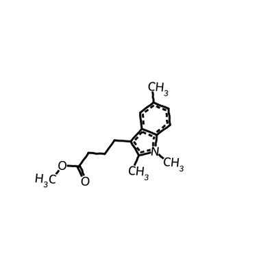 COC(=O)CCCc1c(C)n(C)c2ccc(C)cc12